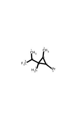 CC(C)C1C(C)C1(C)C(C)C(F)(F)F